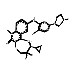 C[C@@H]1CCN(c2ncc(Cl)c(Nc3ccc4c(c3)c3c(c(=O)n4C)OCC(F)(F)[C@H](C4CC4)N3)n2)C1